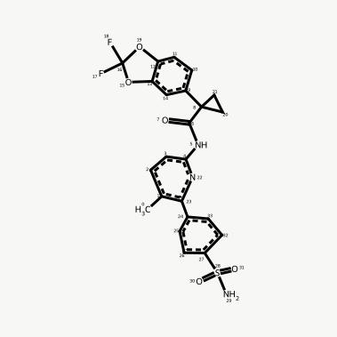 Cc1ccc(NC(=O)C2(c3ccc4c(c3)OC(F)(F)O4)CC2)nc1-c1ccc(S(N)(=O)=O)cc1